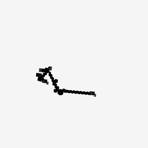 CCCCCCCCCCCCCCCCOc1cccc(C(=O)OCCOC(=O)CCCC=CC[C@@H]2[C@@H](C=CC[C@H](O)C3(CC)CCC3)[C@H](O)C[C@H]2Cl)c1